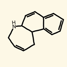 C1=CCC2c3ccccc3C=CC2NC1